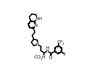 O=C(NC(CCN1CCC(CCc2ccc3c(n2)NCCC3)C1)C(=O)O)c1cc(F)cc(C(F)(F)F)c1